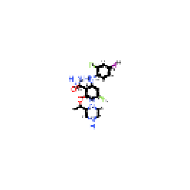 CC(Oc1cc(F)cc(Nc2ccc(I)cc2F)c1C(N)=O)C1CNCCN1